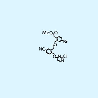 COC(=O)Cc1ccc(Br)cc1COCCc1cc(C#N)ccc1COc1ccnc(Cl)n1